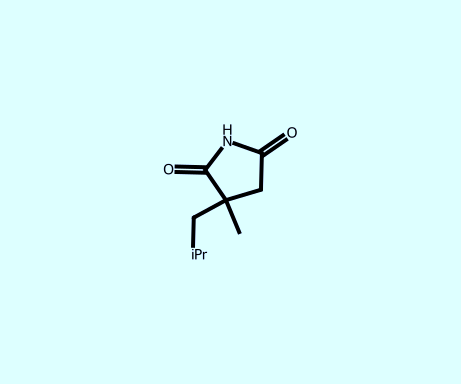 CC(C)CC1(C)CC(=O)NC1=O